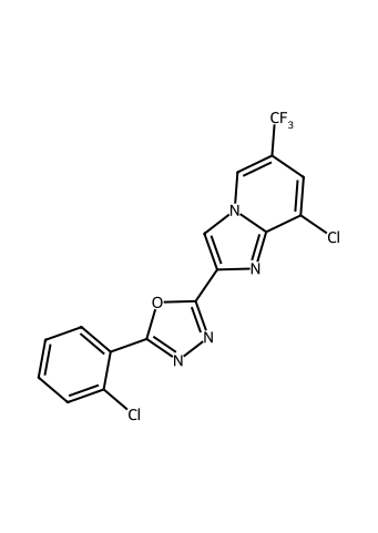 FC(F)(F)c1cc(Cl)c2nc(-c3nnc(-c4ccccc4Cl)o3)cn2c1